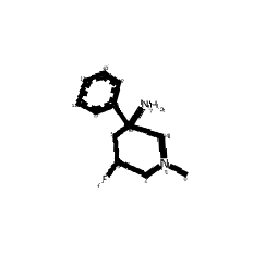 CN1CC(F)CC(N)(c2ccccc2)C1